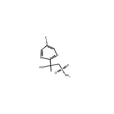 CC(O)(CS(N)(=O)=O)c1ncc(F)cn1